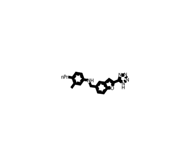 CCCc1ccc(NCc2ccc3oc(-c4nnn[nH]4)cc3c2)cc1C